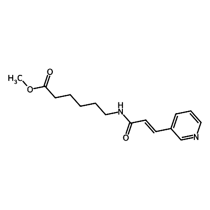 COC(=O)CCCCCNC(=O)/C=C/c1cccnc1